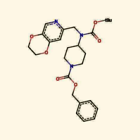 CC(C)(C)OC(=O)N(Cc1cc2c(cn1)OCCO2)C1CCN(C(=O)OCc2ccccc2)CC1